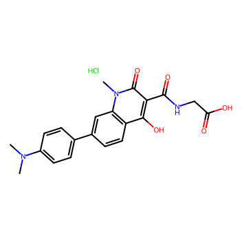 CN(C)c1ccc(-c2ccc3c(O)c(C(=O)NCC(=O)O)c(=O)n(C)c3c2)cc1.Cl